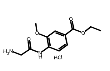 CCOC(=O)c1ccc(NC(=O)CN)c(OC)c1.Cl